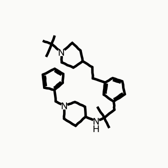 CC(C)(Cc1cccc(CCC2CCN(C(C)(C)C)CC2)c1)NC1CCN(Cc2ccccc2)CC1